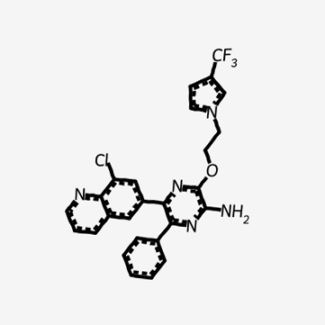 Nc1nc(-c2ccccc2)c(-c2cc(Cl)c3ncccc3c2)nc1OCCn1ccc(C(F)(F)F)c1